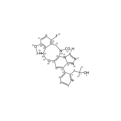 CC(C)(O)Cc1ncccc1-c1cc2c(n3cnnc13)N(C(=O)O)Cc1c(F)ccc3c1[C@@H](CO3)CO2